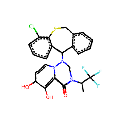 CC(N1CN(C2c3ccccc3CSc3c(Cl)cccc32)N2C=CC(O)C(O)=C2C1=O)C(F)(F)F